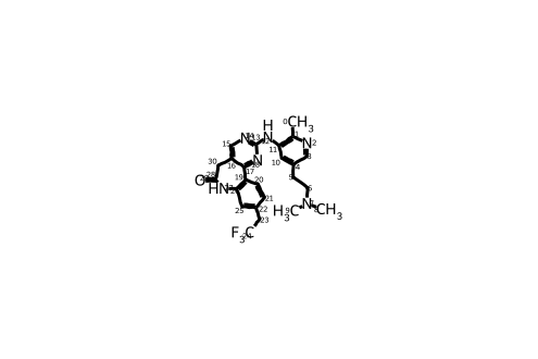 Cc1ncc(CCN(C)C)cc1Nc1ncc2c(n1)-c1ccc(CC(F)(F)F)cc1NC(=O)C2